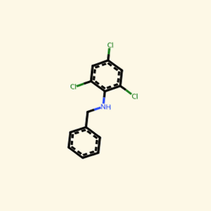 Clc1cc(Cl)c(NCc2ccccc2)c(Cl)c1